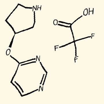 O=C(O)C(F)(F)F.c1cc(O[C@H]2CCNC2)ncn1